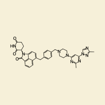 Cc1nc(N2CCN(Cc3ccc(Cc4ccc5c6c(cccc46)C(=O)N5[C@@H]4CCC(=O)NC4=O)cc3)CC2)cc(-n2cnc(C)n2)n1